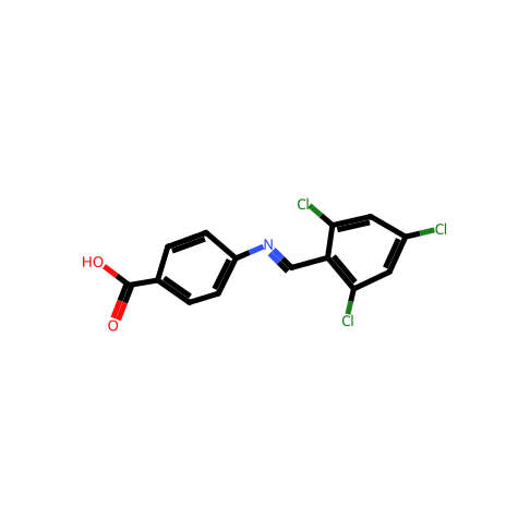 O=C(O)c1ccc(N=Cc2c(Cl)cc(Cl)cc2Cl)cc1